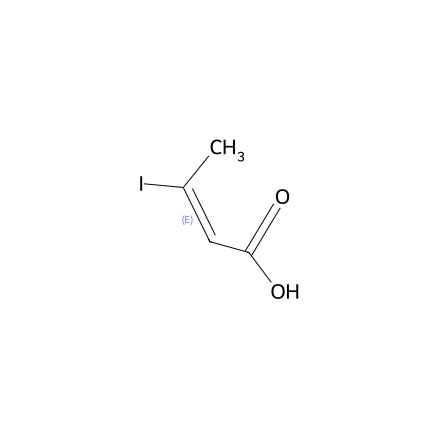 C/C(I)=C\C(=O)O